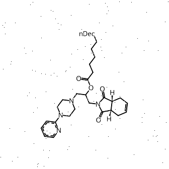 CCCCCCCCCCCCCCCC(=O)OC(CN1CCN(c2ccccn2)CC1)CN1C(=O)[C@H]2CC=CC[C@H]2C1=O